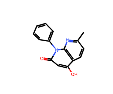 Cc1ccc2c(O)cc(=O)n(-c3ccccc3)c2n1